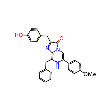 COc1ccc(-c2cn3c(=O)c(Cc4c#cc(O)cc4)nc-3c(Cc3ccccc3)[nH]2)cc1